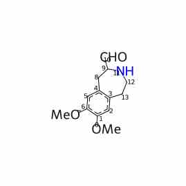 COc1cc2c(cc1OC)CC(C=O)NCC2